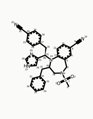 CS(=O)(=O)N1Cc2cc(C#N)ccc2N([C@H](Cc2ccc(C#N)cc2)c2c[nH]cn2)C(Cc2ccccc2)C1